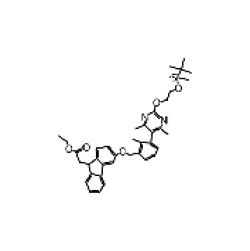 CCOC(=O)CC1c2ccccc2-c2cc(OCc3cccc(-c4c(C)nc(OCCO[Si](C)(C)C(C)(C)C)nc4C)c3C)ccc21